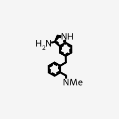 CNCc1ccccc1Cc1ccc2[nH]cc(N)c2c1